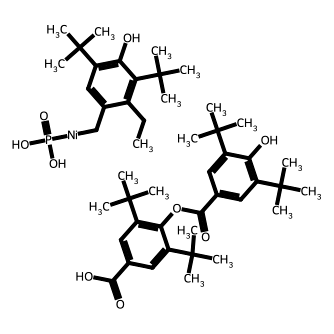 CC(C)(C)c1cc(C(=O)Oc2c(C(C)(C)C)cc(C(=O)O)cc2C(C)(C)C)cc(C(C)(C)C)c1O.CCc1c([CH2][Ni][P](=O)(O)O)cc(C(C)(C)C)c(O)c1C(C)(C)C